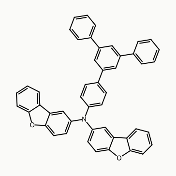 c1ccc(-c2cc(-c3ccccc3)cc(-c3ccc(N(c4ccc5oc6ccccc6c5c4)c4ccc5oc6ccccc6c5c4)cc3)c2)cc1